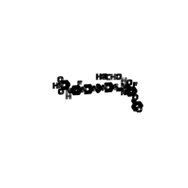 O=C1CCC(Nc2ccc(N3CCC(N4CC(N5CCC(SCc6nc7cc(OCC8CCOCC8)cc(F)c7c(=O)[nH]6)CC5)C4)CC3)c(F)c2)C(=O)N1.O=CO